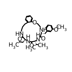 CCC[C@@H]1NC(=O)[C@@H](C(C)C)NC(=O)[C@@H](Cc2cccc(OC)c2)NCCOc2ccccc2CCCNC1=O